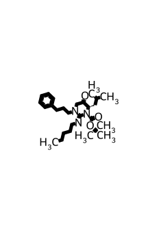 CCCCCN=C1N(CCCc2ccccc2)CC(=O)[C@H](CC(C)C)N1C(=O)OC(C)(C)C